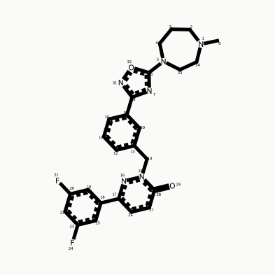 CN1CCCN(c2nc(-c3cccc(Cn4nc(-c5cc(F)cc(F)c5)ccc4=O)c3)no2)CC1